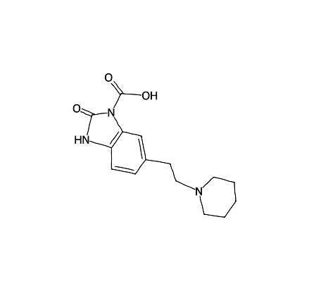 O=C(O)n1c(=O)[nH]c2ccc(CCN3CCCCC3)cc21